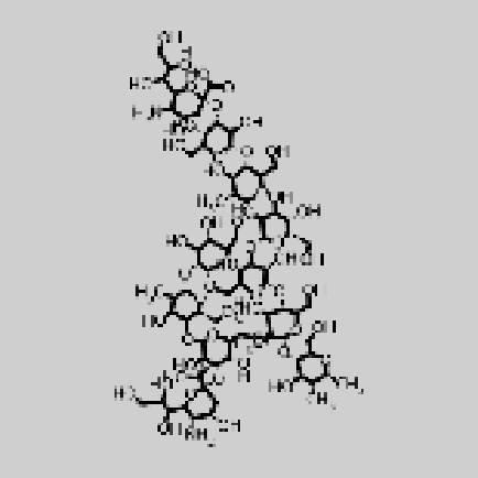 COC[C@@H]1O[C@@H](O[C@@H]2C(O)[C@H](O)C(CO)O[C@@H]2OCC2O[C@@H](O[C@@H]3C(CO)O[C@@H](O[C@@H]4C(CO)O[C@@H](C)[C@@H](C)C4O)[C@@H](C)C3O)[C@H](O)C(O[C@H]3O[C@H](CO)[C@@H](O)C(O)C3O[C@@H]3OC(CO)[C@@H](O[C@@H]4OC(CO)[C@H](O)[C@H](O[C@]5(C(=O)O)C[C@@H](O)[C@@H](N)C(C(O)C(O)CO)O5)C4O)C(O)[C@@H]3C)[C@@H]2O)C(C)C(O)[C@@H]1OC1OC(CO)[C@H](O)[C@H](O[C@]2(C(=O)O)C[C@@H](O)[C@@H](N)C(C(O)C(O)CO)O2)C1O